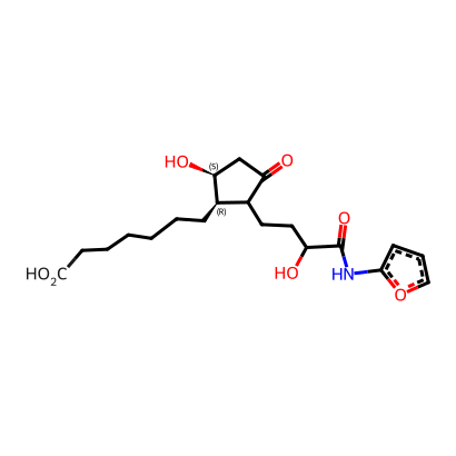 O=C(O)CCCCCC[C@@H]1C(CCC(O)C(=O)Nc2ccco2)C(=O)C[C@@H]1O